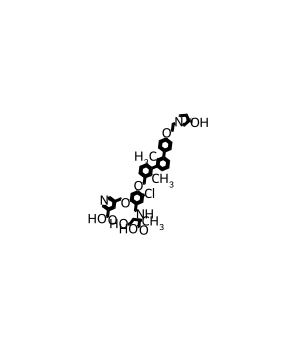 Cc1c(COc2cc(OCc3cncc(C(=O)O)c3)c(CNC(C)(CCO)C(=O)O)cc2Cl)cccc1-c1cccc(-c2ccc(OCCN3CC[C@@H](O)C3)cc2)c1C